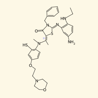 CCNc1ccc(N)cc1N=C1S/C(=C(\C)N(C)c2ccc(OCCN3CCOCC3)cc2S)C(=O)N1Cc1ccccc1